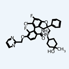 CC1(O)CCC(NC[C@@]2(c3ccccc3)Cc3c(cc(F)c(Cl)c3-c3c(C(N)=O)ccc(OCc4ncccn4)c3F)O2)CC1